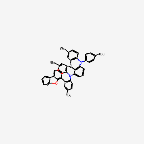 CC(C)(C)c1ccc(N2c3ccc(C(C)(C)C)cc3B3c4cc(C(C)(C)C)ccc4N(c4ccc(C(C)(C)C)cc4-c4cccc5c4oc4ccccc45)c4cccc2c43)cc1